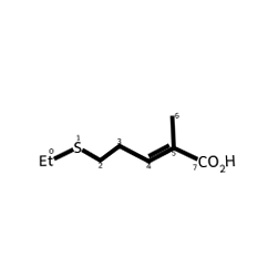 CCSCCC=C(C)C(=O)O